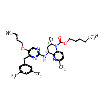 CC[C@@H]1C[C@H](Nc2ncc(OCCCC#N)c(Cc3cc(C(F)(F)F)cc(C(F)(F)F)c3)n2)c2nc(C(F)(F)F)ccc2N1C(=O)OCCCCC(=O)O